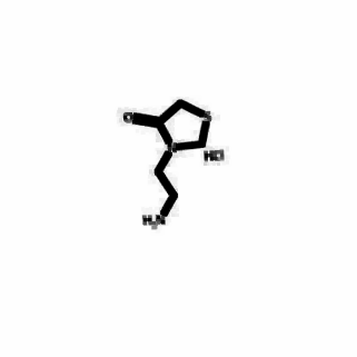 Cl.NCCN1CSCC1=O